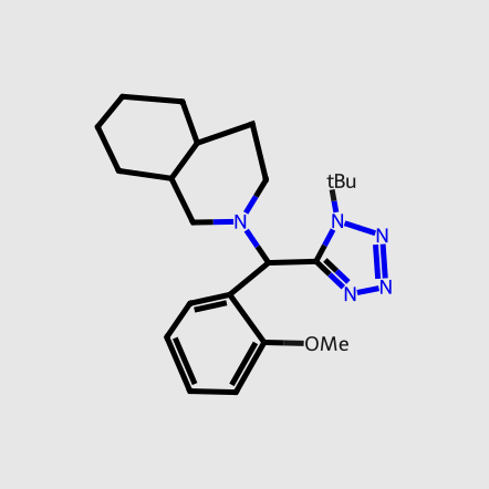 COc1ccccc1C(c1nnnn1C(C)(C)C)N1CCC2CCCCC2C1